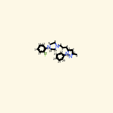 Cc1cc(CCCN2CCN(c3ccccc3F)CC2)n(-c2ccccc2)n1